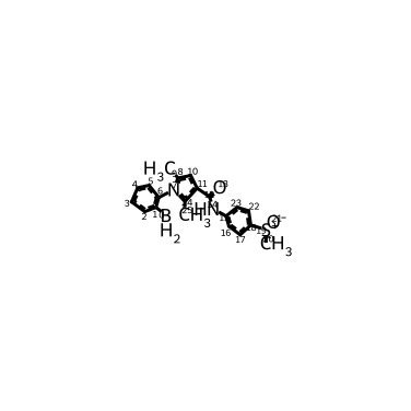 Bc1ccccc1-n1c(C)cc(C(=O)Nc2ccc([S+](C)[O-])cc2)c1C